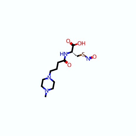 CN1CCN(CCCC(=O)N[C@@H](CSN=O)C(=O)O)CC1